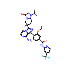 CCOc1cc(C(=O)Nc2cc(C(F)(F)F)ccn2)ccc1-c1nc(C2(C)CCC3N(C2)C(=O)CN3C(C)C)n2ccnc(N)c12